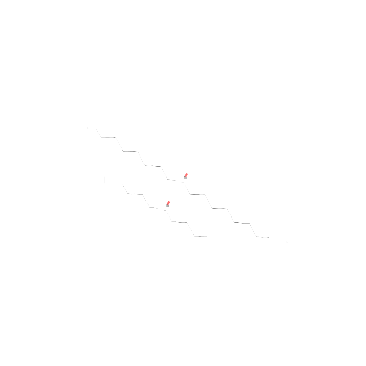 CCCCCCC[CH2][Sn](=[O])[CH2]CCCCCCC.CCC[CH2][Sn](=[O])[CH2]CCC